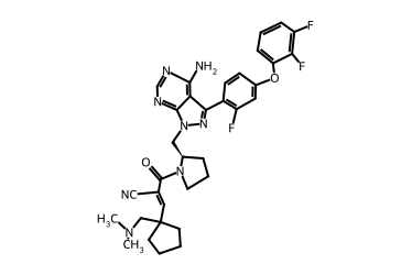 CN(C)CC1(/C=C(\C#N)C(=O)N2CCC[C@@H]2Cn2nc(-c3ccc(Oc4cccc(F)c4F)cc3F)c3c(N)ncnc32)CCCC1